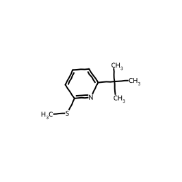 CSc1cccc(C(C)(C)C)n1